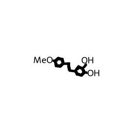 COc1ccc(/C=C/c2ccc(O)c(CO)c2)cc1